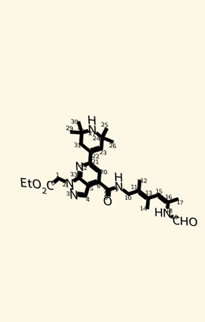 CCOC(=O)Cn1ncc2c(C(=O)NC/C(C)=C(C)/C=C(/C)NC=O)cc(C3=CC(C)(C)NC(C)(C)C3)nc21